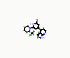 O=c1cc(-c2ccnc3[nH]ncc23)cc(N2CCCC[C@H]2C(F)(F)F)[nH]1